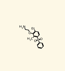 CCc1ccc(S(=O)(=O)c2ccccc2)c(C)c1OCCN